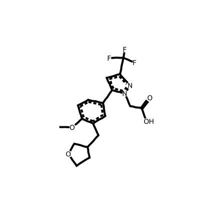 COc1ccc(-c2cc(C(F)(F)F)nn2CC(=O)O)cc1CC1CCOC1